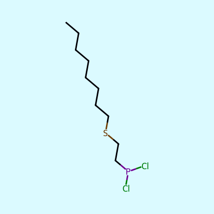 CCCCCCCCSCCP(Cl)Cl